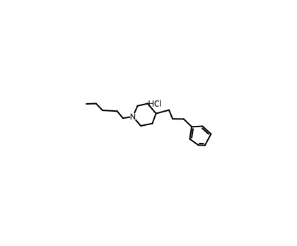 CCCCCN1CCC(CCCc2ccccc2)CC1.Cl